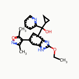 CCOc1nc2c(C(O)(c3ccccn3)C3CC3)cc(-c3c(C)noc3C)cc2[nH]1